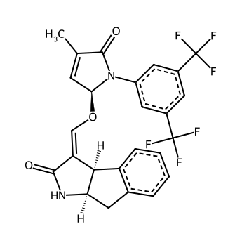 CC1=C[C@H](O/C=C2/C(=O)N[C@@H]3Cc4ccccc4[C@H]23)N(c2cc(C(F)(F)F)cc(C(F)(F)F)c2)C1=O